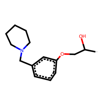 [CH2]C(O)COc1cccc(CN2CCCCC2)c1